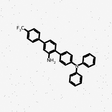 Nc1cc(-c2ccc(C(F)(F)F)cc2)ccc1-c1ccc(N(c2ccccc2)c2ccccc2)cc1